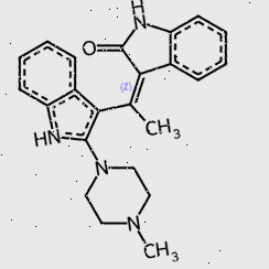 C/C(=C1/C(=O)Nc2ccccc21)c1c(N2CCN(C)CC2)[nH]c2ccccc12